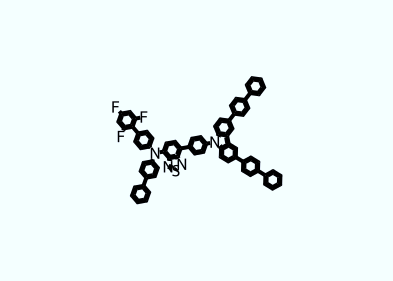 Fc1cc(F)c(-c2ccc(N(c3ccc(-c4ccccc4)cc3)c3ccc(-c4ccc(-n5c6ccc(-c7ccc(-c8ccccc8)cc7)cc6c6cc(-c7ccc(-c8ccccc8)cc7)ccc65)cc4)c4nsnc34)cc2)c(F)c1